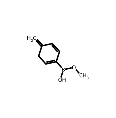 C=C1C=CC(B(O)OC)=CC1